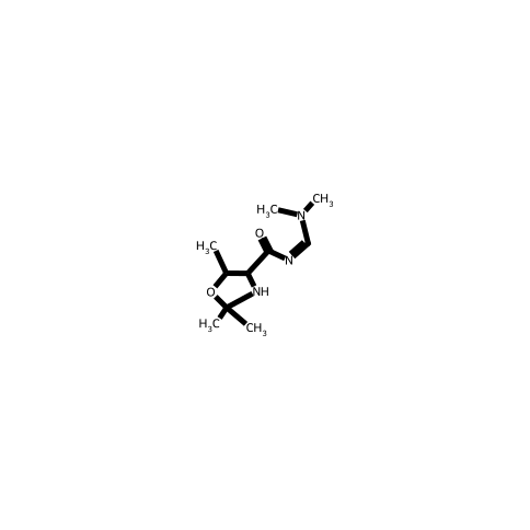 CC1OC(C)(C)NC1C(=O)/N=C\N(C)C